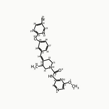 COc1cncc(NC(=O)N2CC/C(=C\c3cccc(Oc4ncc(Br)cn4)c3)C(C)C2)n1